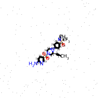 CC#C[C@H]1CN(S(=O)(=O)c2ccc(N)nc2)CCN1c1ccc(S(=O)(=NC)C(F)(F)F)cc1